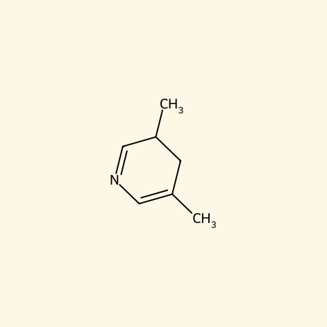 CC1=CN=CC(C)C1